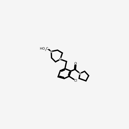 O=C(O)N1CCN(Cc2cccc(Cl)c2C(=O)N2CCCC2)CC1